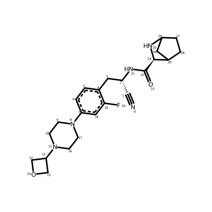 N#C[C@H](Cc1ccc(N2CCN(C3COC3)CC2)cc1F)NC(=O)[C@H]1NC2CCC1C2